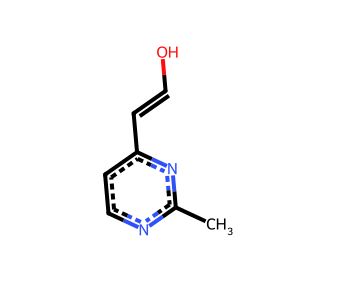 Cc1nccc(C=CO)n1